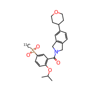 CC(C)Oc1ccc(S([11CH3])(=O)=O)cc1C(=O)N1Cc2ccc(C3CCOCC3)cc2C1